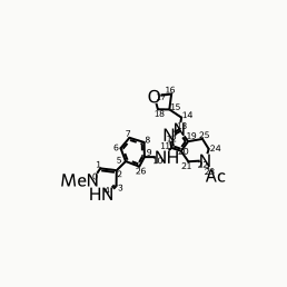 CN/C=C(\C=N)c1cccc(Nc2nn(CC3COC3)c3c2CN(C(C)=O)CC3)c1